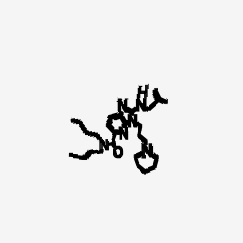 C=C(C)CNc1nc2ccc(C(=O)N(CCCC)CCCC)nc2n1CCCN1CCCCC1